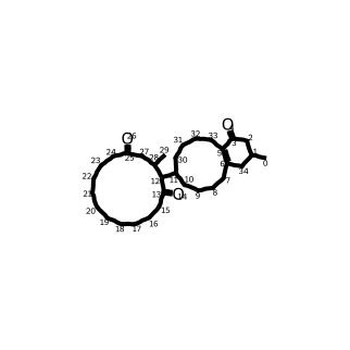 CC1CC(=O)C2=C(CCCCC(C3C(=O)CCCCCCCCCCC(=O)CC3C)CCCC2)C1